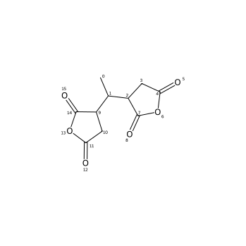 CC(C1CC(=O)OC1=O)C1CC(=O)OC1=O